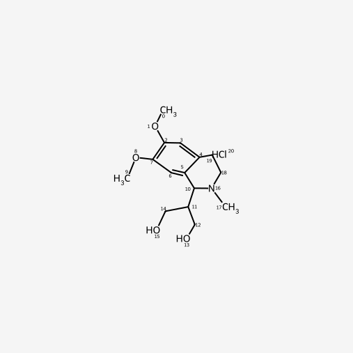 COc1cc2c(cc1OC)C(C(CO)CO)N(C)CC2.Cl